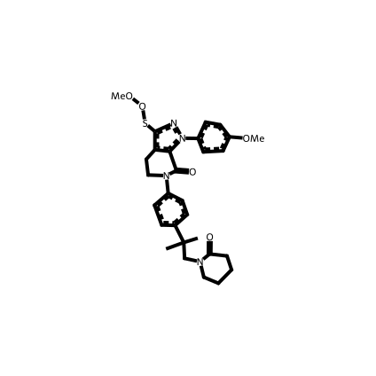 COOSc1nn(-c2ccc(OC)cc2)c2c1CCN(c1ccc(C(C)(C)CN3CCCCC3=O)cc1)C2=O